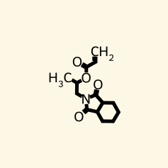 C=CC(=O)OC(C)CN1C(=O)C2CCCCC2C1=O